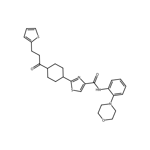 O=C(Nc1ccccc1N1CCOCC1)c1csc(C2CCC(C(=O)CCc3cccs3)CC2)n1